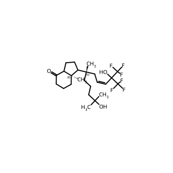 CC(C)(O)CCC[C@@](C)(CC=CC(O)(C(F)(F)F)C(F)(F)F)C1CCC2C(=O)CCC[C@@]21C